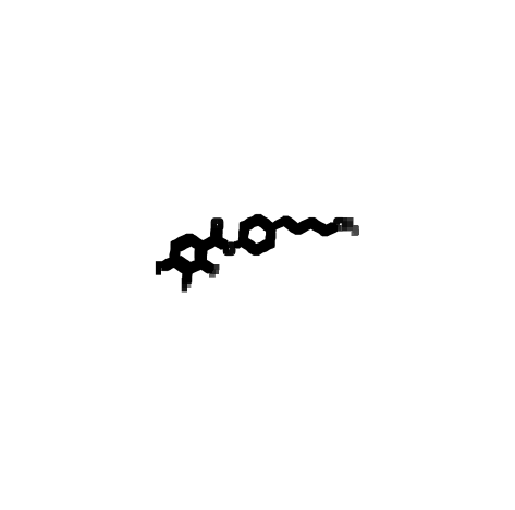 CCCCC[C@H]1CC[C@H](OC(=O)c2ccc(F)c(F)c2F)CC1